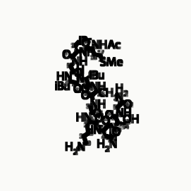 CC[C@@H](C)[C@@H](NC(=O)CNC(=O)[C@@H](CC(C)C)NC(=O)[C@@H](CCSC)NC(C)=O)C(=O)N[C@@H](C(=O)N[C@H](C)C(=O)NCC(=O)N[C@H](CCCCN)C(=O)N[C@H](CC(N)=O)C(=O)N[C@H](CO)C(=O)NCC(N)=O)[C@H](C)CC